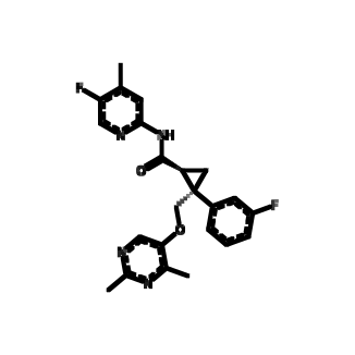 Cc1ncc(OC[C@@]2(c3cccc(F)c3)C[C@@H]2C(=O)Nc2cc(C)c(F)cn2)c(C)n1